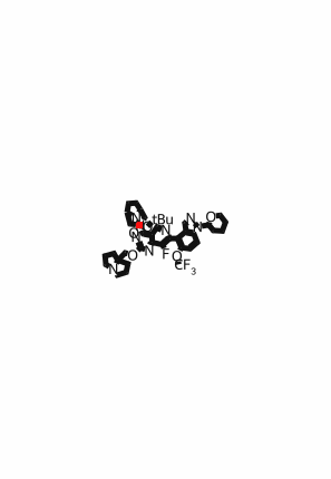 CC(C)(C)OC(=O)N1C2CCC1CN(c1nc(OCC34CCCN3CCC4)nc3c(F)c(-c4c(OC(F)(F)F)ccc5c4cnn5C4CCCCO4)ncc13)C2